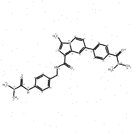 Cc1nc(C(=O)NCc2ccc(NC(=O)N(C)C)cc2)c2cc(-c3ccc(C(=O)N(C)C)cc3)ccn12